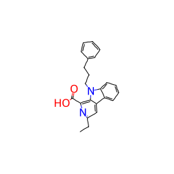 CCc1cc2c3ccccc3n(CCCc3ccccc3)c2c(C(=O)O)n1